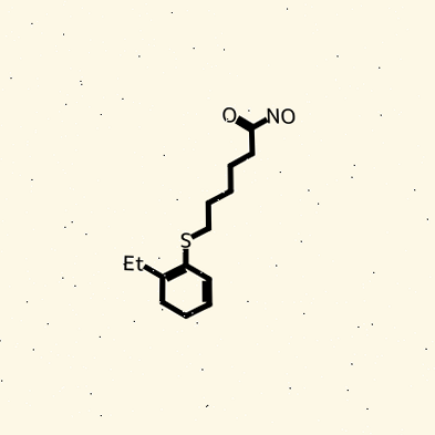 CCC1=C(SCCCCCC(=O)N=O)C=CCC1